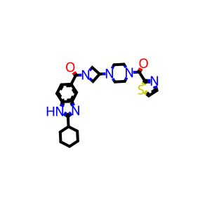 O=C(c1ccc2[nH]c(C3CCCCC3)nc2c1)N1CC(N2CCN(C(=O)c3nccs3)CC2)C1